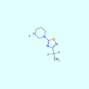 CC(F)(F)c1noc(N2CCC[C@@H](F)C2)n1